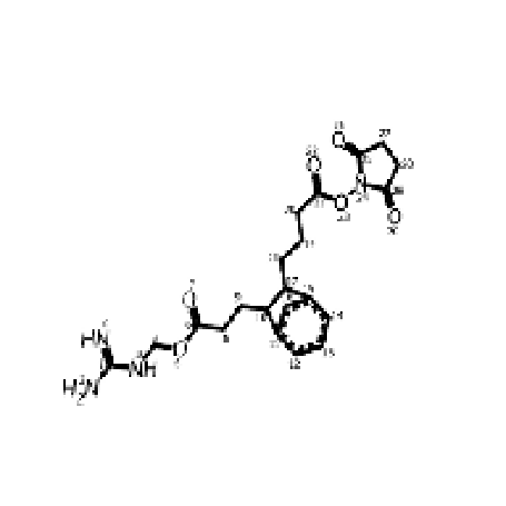 N=C(N)NCOC(=O)CCC1c2cccc(c2)C1CCCC(=O)ON1C(=O)CCC1=O